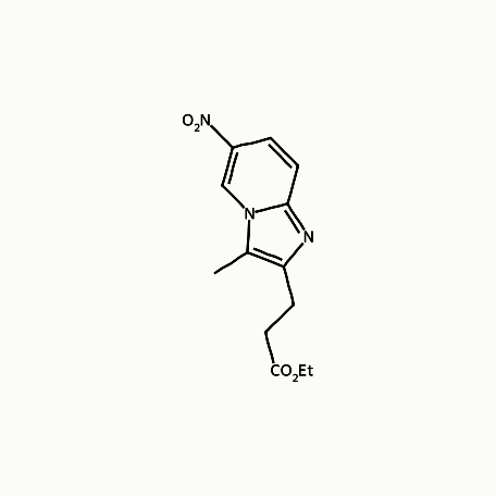 CCOC(=O)CCc1nc2ccc([N+](=O)[O-])cn2c1C